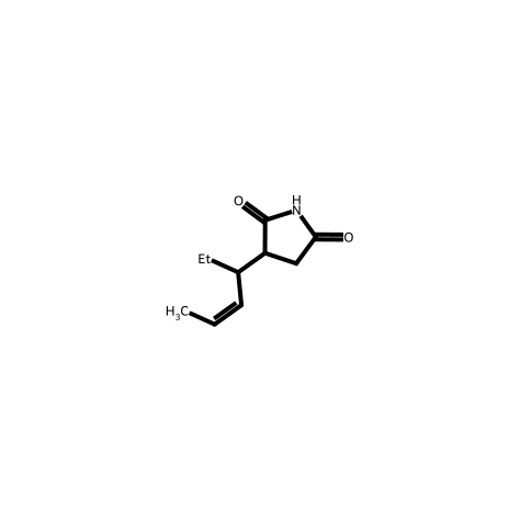 C/C=C\C(CC)C1CC(=O)NC1=O